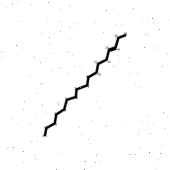 [CH2]CCCCCCCCCCCCC=CCC